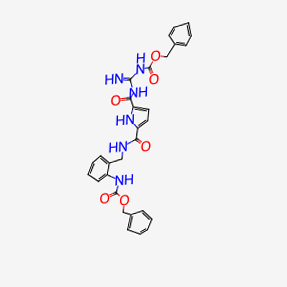 N=C(NC(=O)OCc1ccccc1)NC(=O)c1ccc(C(=O)NCc2ccccc2NC(=O)OCc2ccccc2)[nH]1